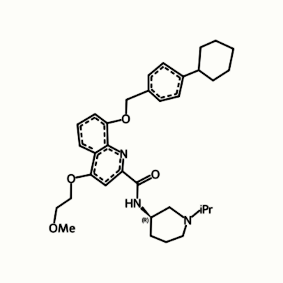 COCCOc1cc(C(=O)N[C@@H]2CCCN(C(C)C)C2)nc2c(OCc3ccc(C4CCCCC4)cc3)cccc12